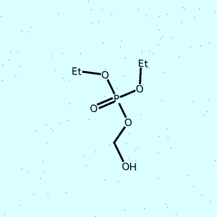 CCOP(=O)(OCC)OCO